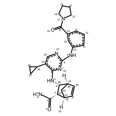 NC(=O)[C@@H]1[C@H](Nc2nc(Nc3cccc(C(=O)N4CCCC4)c3)ncc2C2CC2)[C@H]2C=C[C@@H]1C2